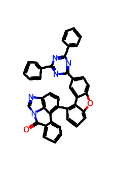 O=c1c2ccccc2c2c(-c3cccc4oc5ccc(-c6nc(-c7ccccc7)nc(-c7ccccc7)n6)cc5c34)ccc3ncn1c32